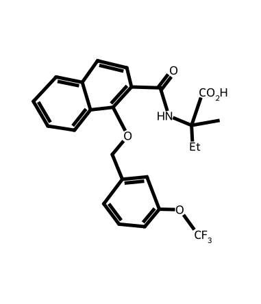 CCC(C)(NC(=O)c1ccc2ccccc2c1OCc1cccc(OC(F)(F)F)c1)C(=O)O